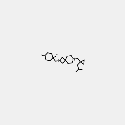 CC(C)CC1(CN2CCC3(CC2)CN(CC2(F)CCN(C)CC2)C3)CC1